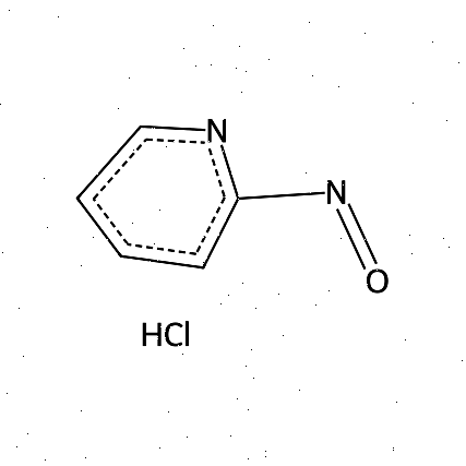 Cl.O=Nc1ccccn1